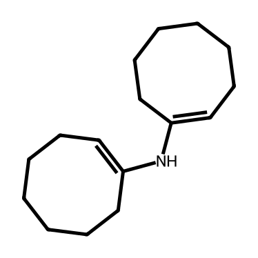 C1=C(NC2=CCCCCCC2)CCCCCC1